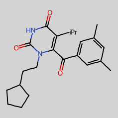 Cc1cc(C)cc(C(=O)c2c(C(C)C)c(=O)[nH]c(=O)n2CCC2CCCC2)c1